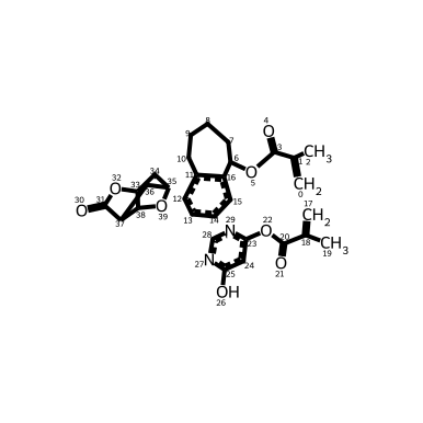 C=C(C)C(=O)OC1CCCCc2ccccc21.C=C(C)C(=O)Oc1cc(O)ncn1.O=C1OC2[CH]C3CC1C2O3